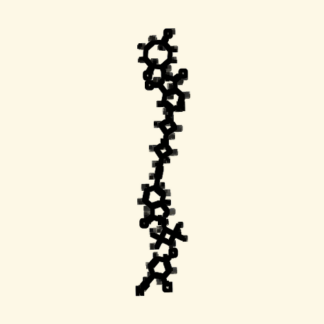 CC1(C)[C@H](Oc2ccc(C#N)c(Cl)c2)C(C)(C)[C@H]1N1Cc2cc(C#CC3CN(C4CN(c5cc6c(cn5)C(=O)N(C5CCC(=O)CCCC5=O)C6=O)C4)C3)ccc2C1=O